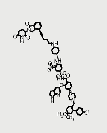 CC1(C)CCC(CN2CCN(c3ccc(C(=O)NS(=O)(=O)c4ccc(NC[C@H]5CC[C@H](NCCCC#Cc6cccc7c6CN(C6CCC(=O)NC6=O)C7=O)CC5)c([N+](=O)[O-])c4)c(Oc4cnc5[nH]ccc5c4)c3)CC2)=C(c2ccc(Cl)cc2)C1